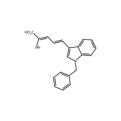 CCC/C(=C\C=C\c1cn(Cc2ccccc2)c2ccccc12)C(=O)O